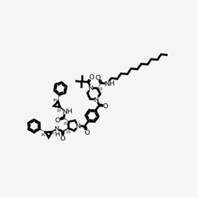 CCCCCCCCCCCCNC(=O)[C@@H]1CN(C(=O)c2ccc(C(=O)N3C[C@@H](C(=O)N[C@H]4C[C@@H]4c4ccccc4)[C@H](C(=O)N[C@H]4C[C@@H]4c4ccccc4)C3)cc2)CCN1C(=O)C(C)(C)C